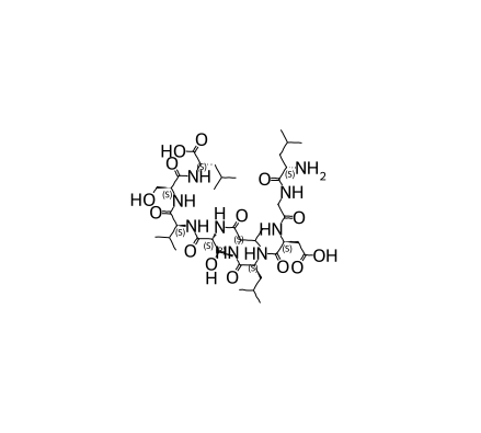 CC(C)C[C@H](NC(=O)[C@H](CO)NC(=O)[C@@H](NC(=O)[C@@H](NC(=O)[C@@H](NC(=O)[C@H](CC(C)C)NC(=O)[C@H](CC(=O)O)NC(=O)CNC(=O)[C@@H](N)CC(C)C)C(C)C)[C@@H](C)O)C(C)C)C(=O)O